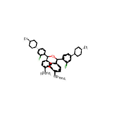 CCCCCc1ccc(C(OC(c2ccc(CCCCC)cc2)c2ccc([C@H]3CC[C@H](CC)CC3)cc2F)c2ccc([C@H]3CC[C@H](CC)CC3)cc2F)cc1